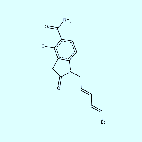 CCC=CC=CCN1C(=O)Cc2c1ccc(C(N)=O)c2C